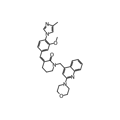 COc1cc(C=C2CCCN(Cc3cc(N4CCOCC4)nc4ccccc34)C2=O)ccc1-n1cnc(C)c1